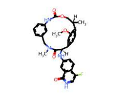 COc1cc2ccc1[C@@H](C)COC(=O)Nc1cccc(c1)CN(C)C(=O)[C@@H]2Nc1ccc2c(F)c[nH]c(=O)c2c1